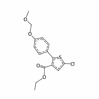 CCOC(=O)c1cc(Cl)sc1-c1ccc(OCOC)cc1